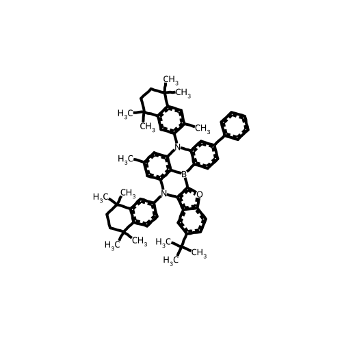 Cc1cc2c3c(c1)N(c1ccc4c(c1)C(C)(C)CCC4(C)C)c1c(oc4ccc(C(C)(C)C)cc14)B3c1ccc(-c3ccccc3)cc1N2c1cc2c(cc1C)C(C)(C)CCC2(C)C